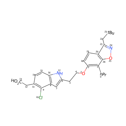 CCCc1c(OCCc2cc3c(Cl)c(CC(=O)O)ccc3[nH]2)ccc2c(CC(C)(C)C)noc12